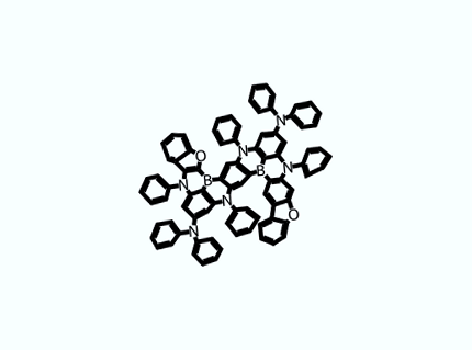 c1ccc(N(c2ccccc2)c2cc3c4c(c2)N(c2ccccc2)c2cc5oc6ccccc6c5cc2B4c2cc4c(cc2N3c2ccccc2)B2c3oc5ccccc5c3N(c3ccccc3)c3cc(N(c5ccccc5)c5ccccc5)cc(c32)N4c2ccccc2)cc1